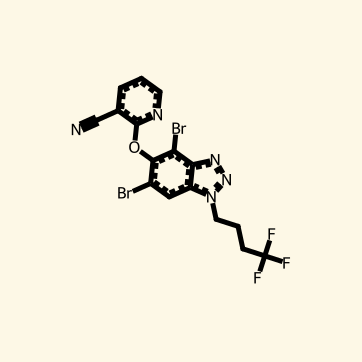 N#Cc1cccnc1Oc1c(Br)cc2c(nnn2CCCC(F)(F)F)c1Br